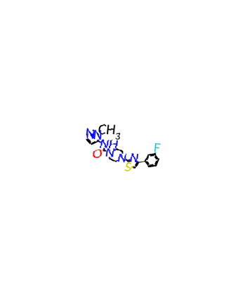 Cn1nccc1NC(=O)N1CCN(c2nc(-c3cccc(F)c3)cs2)CC1